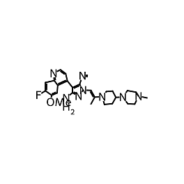 C=Nc1c(-c2ccnc3cc(F)c(OC)cc23)c(N)nn1/C=C(\C)N1CCC(N2CCN(C)CC2)CC1